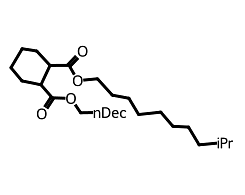 CCCCCCCCCCCOC(=O)C1CCCCC1C(=O)OCCCCCCCCC(C)C